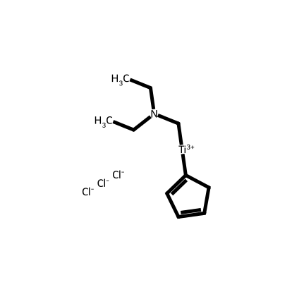 CCN(CC)[CH2][Ti+3][C]1=CC=CC1.[Cl-].[Cl-].[Cl-]